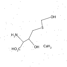 NC(C(=O)O)C(O)CSCO.[CaH2]